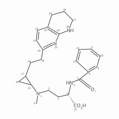 CN(CC[C@H](NC(=O)c1ccccc1)C(=O)O)C1CC1CCc1ccc2c(n1)NCCC2